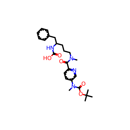 CN(CCCC(Cc1ccccc1)NC(=O)O)C(=O)c1ccc(N(C)C(=O)OC(C)(C)C)cn1